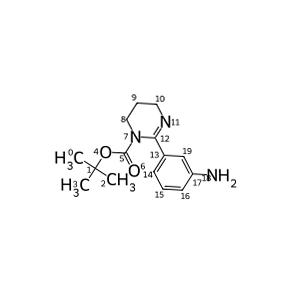 CC(C)(C)OC(=O)N1CCCN=C1c1cccc(N)c1